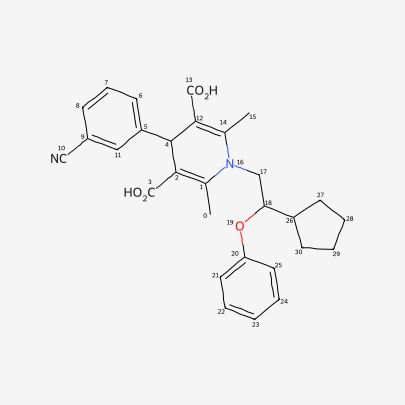 CC1=C(C(=O)O)C(c2cccc(C#N)c2)C(C(=O)O)=C(C)N1CC(Oc1ccccc1)C1CCCC1